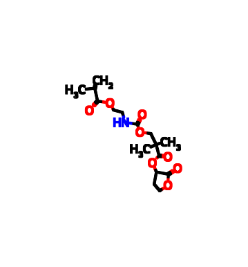 C=C(C)C(=O)OCCNC(=O)OCC(C)(C)C(=O)OC1CCOC1=O